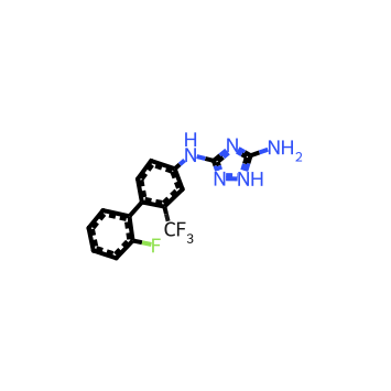 Nc1nc(Nc2ccc(-c3ccccc3F)c(C(F)(F)F)c2)n[nH]1